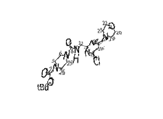 CC(C)(C)OC(=O)N1CCN(C(=O)NCc2nc(Cl)cc(N3CCOCC3)n2)CC1